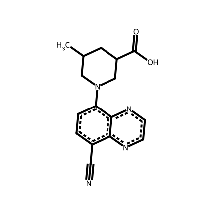 CC1CC(C(=O)O)CN(c2ccc(C#N)c3nccnc23)C1